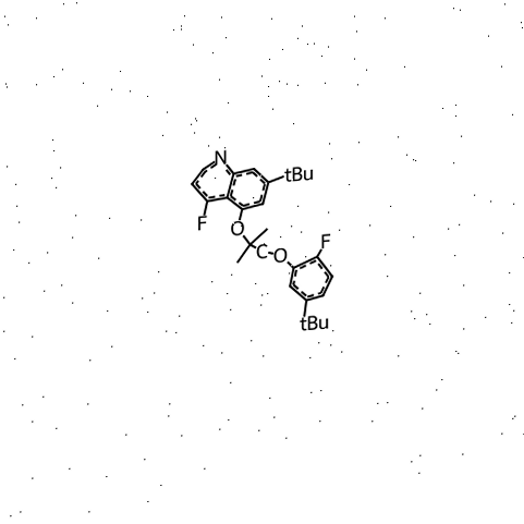 CC(C)(COc1cc(C(C)(C)C)ccc1F)Oc1cc(C(C)(C)C)cc2nccc(F)c12